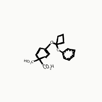 O=C(O)C1(C(=O)O)C=CC(OC2(Oc3ccccc3)CCC2)=CC1